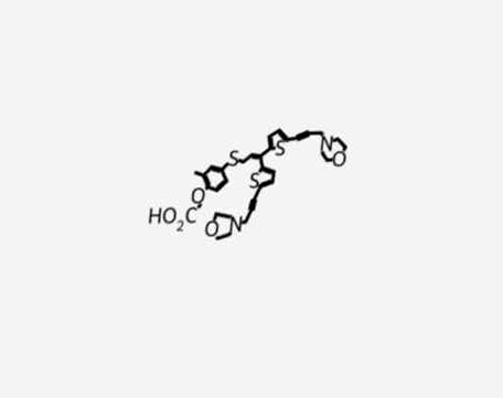 Cc1cc(SCC=C(c2ccc(C#CCN3CCOCC3)s2)c2ccc(C#CCN3CCOCC3)s2)ccc1OCC(=O)O